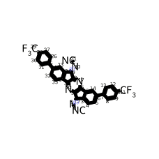 [C-]#[N+]/N=c1\c2ccc(-c3ccc(C(F)(F)F)cc3)cc2c2nc3/c(=N/C#N)c4cc(-c5ccc(C(F)(F)F)cc5)ccc4c3nc12